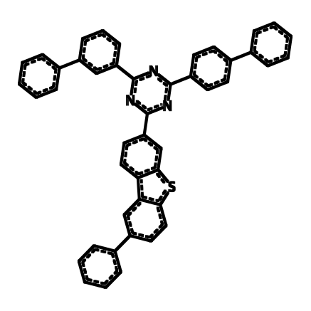 c1ccc(-c2ccc(-c3nc(-c4cccc(-c5ccccc5)c4)nc(-c4ccc5c(c4)sc4ccc(-c6ccccc6)cc45)n3)cc2)cc1